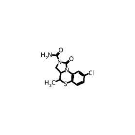 CC1Sc2ccc(Cl)cc2N2C(=O)N(C(N)=O)CC12